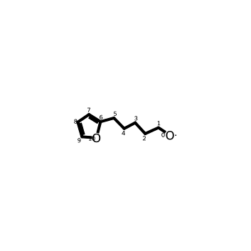 [O]CCCCCc1ccco1